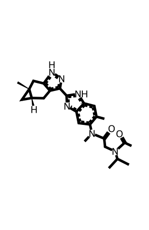 CC(=O)N(CC(=O)N(C)c1cc2nc(-c3n[nH]c4c3C[C@@H]3C[C@]3(C)C4)[nH]c2cc1C)C(C)C